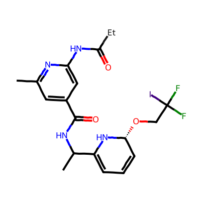 CCC(=O)Nc1cc(C(=O)NC(C)C2=CC=C[C@@H](OCC(F)(F)I)N2)cc(C)n1